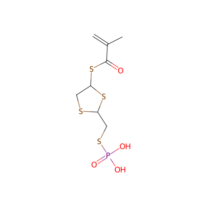 C=C(C)C(=O)SC1CSC(CSP(=O)(O)O)S1